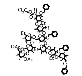 CCC1O[C@@H](O[C@@H]2C(OCc3ccccc3)[C@H](O[C@@H]3C(CC)O[C@@H](O[C@@H]4C(CC)O[C@@H](OCc5ccccc5)C(NC(=O)OCC(Cl)(Cl)Cl)[C@H]4C)C(C)[C@H]3C)OC(CO[C@H]3OC(CC)[C@@H](C)[C@H](C)C3O[C@@H]3OC(CC)[C@@H](O[C@@H]4OC(COC(C)=O)[C@H](C)[C@H](C)C4OC(C)=O)[C@H](C)C3C)[C@H]2C)[C@@H](O[C@@H]2OC(CC)[C@@H](O[C@@H]3OC(COCc4ccccc4)[C@H](C)[C@H](C)C3OCc3ccccc3)[C@H](C)C2C)C(C)[C@H]1C